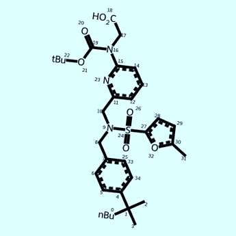 CCCCC(C)(C)c1ccc(CN(Cc2cccc(N(CC(=O)O)C(=O)OC(C)(C)C)n2)S(=O)(=O)c2ccc(C)o2)cc1